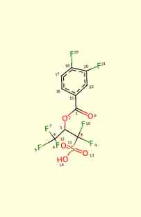 O=C(OC(C(F)(F)F)C(F)(F)S(=O)(=O)O)c1ccc(F)c(F)c1